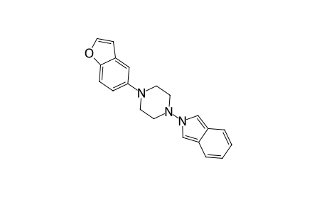 c1ccc2cn(N3CCN(c4ccc5occc5c4)CC3)cc2c1